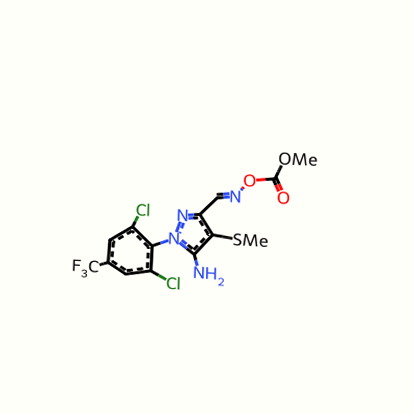 COC(=O)O/N=C/c1nn(-c2c(Cl)cc(C(F)(F)F)cc2Cl)c(N)c1SC